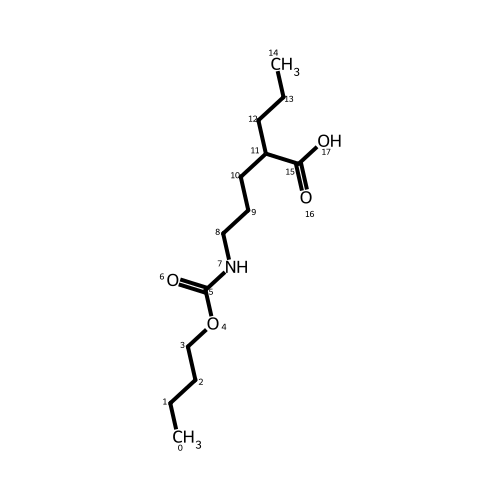 CCCCOC(=O)NCCCC(CCC)C(=O)O